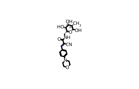 C[C@H]1C(O)O[C@H](CNC(=O)/C(C#N)=C/c2ccc(N3CCOCC3)cc2)[C@@H](O)[C@@H]1O